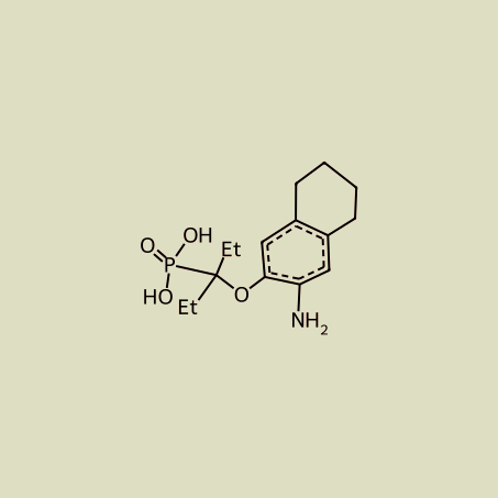 CCC(CC)(Oc1cc2c(cc1N)CCCC2)P(=O)(O)O